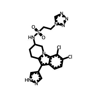 O=S(=O)(CCn1cnnn1)NC1CCc2c(-c3cn[nH]c3)c3ccc(Cl)c(Cl)c3n2C1